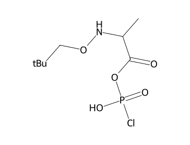 CC(NOCC(C)(C)C)C(=O)OP(=O)(O)Cl